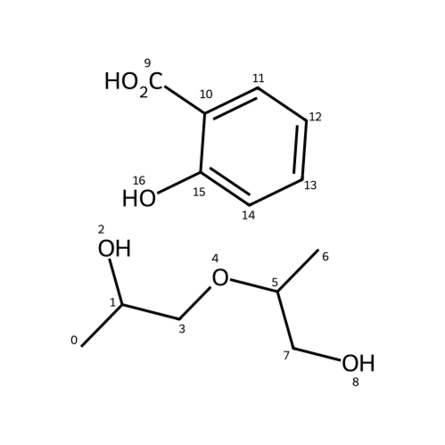 CC(O)COC(C)CO.O=C(O)c1ccccc1O